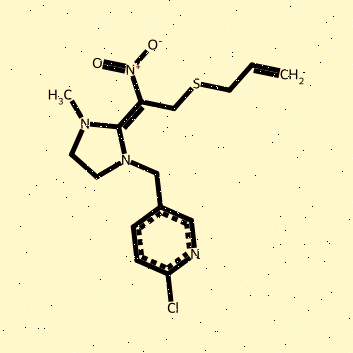 C=CCSCC(=C1N(C)CCN1Cc1ccc(Cl)nc1)[N+](=O)[O-]